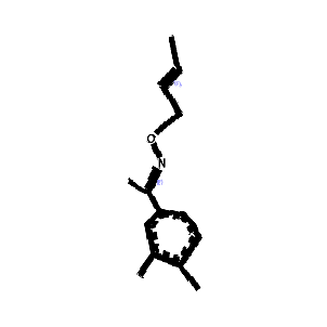 C/C=C/CO/N=C(\C)c1ccc(C)c(C)c1